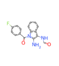 Nc1c(NC=O)c2ccccc2n1C(=O)c1ccc(F)cc1